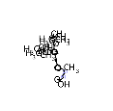 C/C(=C/C=C/C(=O)O)c1cccc(C#Cc2ccc(CO[Si](C)(C)C(C)(C)C)c(CO[Si](C)(C)C(C)(C)C)c2)c1